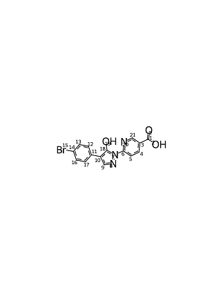 O=C(O)c1ccc(-n2ncc(-c3ccc(Br)cc3)c2O)nc1